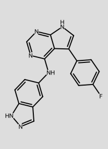 Fc1ccc(-c2c[nH]c3ncnc(Nc4ccc5[nH]ncc5c4)c23)cc1